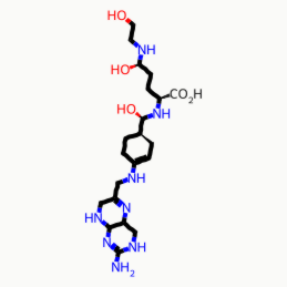 NC1=NC2NCC(CNC3=CC[C@H]([C@@H](O)N[C@@H](CC[C@@H](O)NCCO)C(=O)O)CC3)=NC2CN1